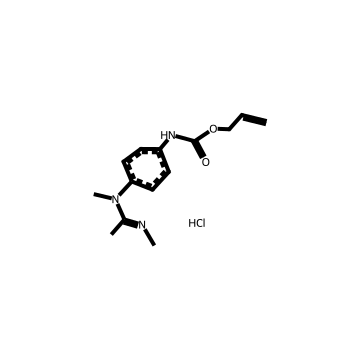 C=CCOC(=O)Nc1ccc(N(C)C(C)=NC)cc1.Cl